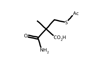 CC(=O)SCC(C)(C(N)=O)C(=O)O